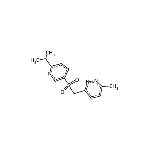 Cc1ccc(CS(=O)(=O)c2ccc(C(C)C)nc2)nn1